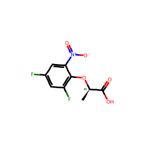 C[C@@H](Oc1c(F)cc(F)cc1[N+](=O)[O-])C(=O)O